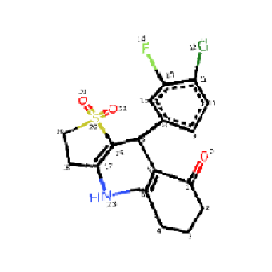 O=C1CCCC2=C1C(c1ccc(Cl)c(F)c1)C1=C(CCS1(=O)=O)N2